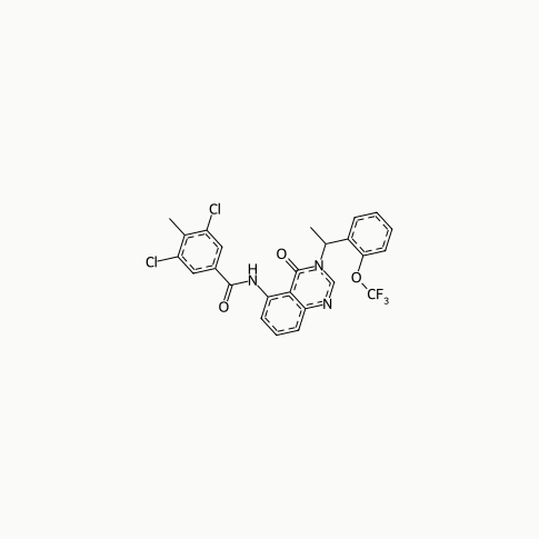 Cc1c(Cl)cc(C(=O)Nc2cccc3ncn(C(C)c4ccccc4OC(F)(F)F)c(=O)c23)cc1Cl